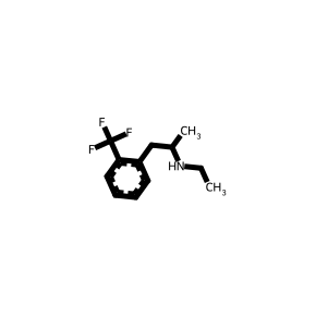 CCNC(C)Cc1ccccc1C(F)(F)F